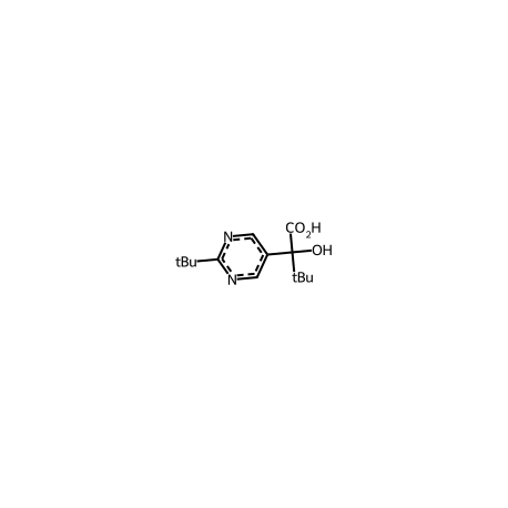 CC(C)(C)c1ncc(C(O)(C(=O)O)C(C)(C)C)cn1